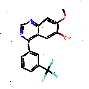 COc1cc2ncnc(-c3cccc(C(F)(F)F)c3)c2cc1O